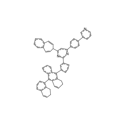 C1=Cc2cccc(-c3c4c(c(-c5cccc(-c6nc(-c7ccc(-c8cccnc8)cc7)cc(C7C=Cc8ccccc8C=C7)n6)c5)c5ccccc35)CCC=C4)c2CC1